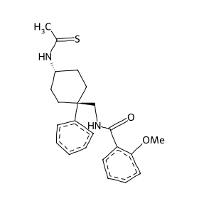 COc1ccccc1C(=O)NC[C@]1(c2ccccc2)CC[C@@H](NC(C)=S)CC1